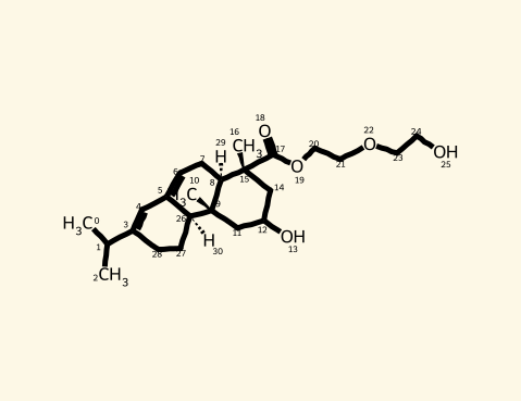 CC(C)C1=CC2=CC[C@@H]3[C@](C)(CC(O)C[C@@]3(C)C(=O)OCCOCCO)[C@H]2CC1